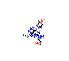 CNc1ncnc2c(N3CC[S+]([O-])CC3)nc(NCCO)nc12